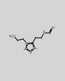 CCCn1nnnc1CCOC=O